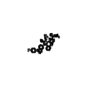 CC1C(=O)N(c2ccc3c(cnn3-c3ccc(F)cc3)c2)C(c2ccccc2Cl)C1c1ccnc(C(N)=O)n1